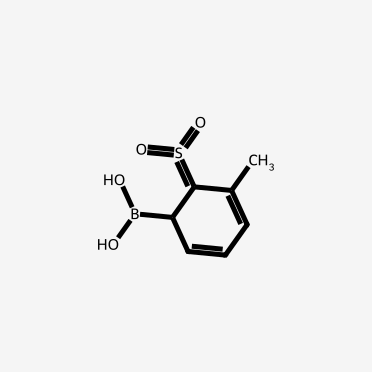 CC1=CC=CC(B(O)O)C1=S(=O)=O